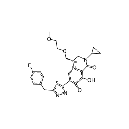 COCCOC[C@H]1CN(C2CC2)C(=O)c2c(O)c(=O)c(-c3nnc(Cc4ccc(F)cc4)s3)cn21